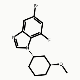 CO[C@H]1CCC[C@H](n2cnc3cc(Br)cc(F)c32)C1